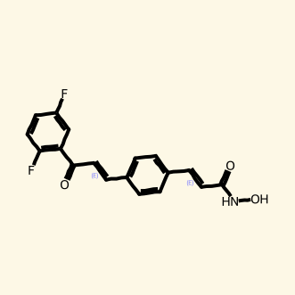 O=C(/C=C/c1ccc(/C=C/C(=O)c2cc(F)ccc2F)cc1)NO